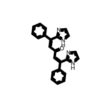 O=C(C=C(c1ccccc1)c1ncc[nH]1)C=C(c1ccccc1)c1ncc[nH]1